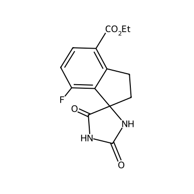 CCOC(=O)c1ccc(F)c2c1CCC21NC(=O)NC1=O